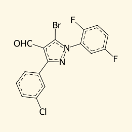 O=Cc1c(-c2cccc(Cl)c2)nn(-c2cc(F)ccc2F)c1Br